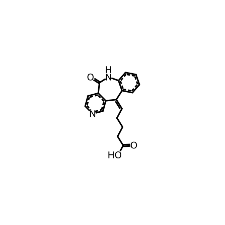 O=C(O)CCCC=C1c2ccccc2NC(=O)c2ccncc21